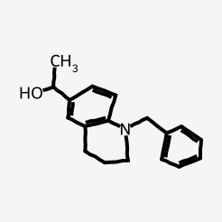 CC(O)c1ccc2c(c1)CCCN2Cc1ccccc1